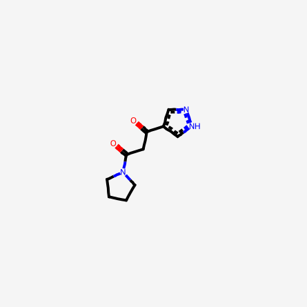 O=C(CC(=O)N1CCCC1)c1cn[nH]c1